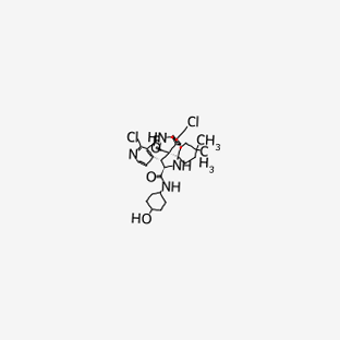 CC1(C)CCC2(CC1)N[C@@H](C(=O)NC1CCC(O)CC1)[C@H](c1ccnc(Cl)c1F)[C@]21C(=O)Nc2cc(Cl)ccc21